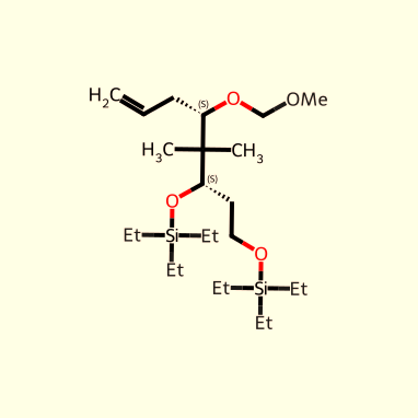 C=CC[C@H](OCOC)C(C)(C)[C@H](CCO[Si](CC)(CC)CC)O[Si](CC)(CC)CC